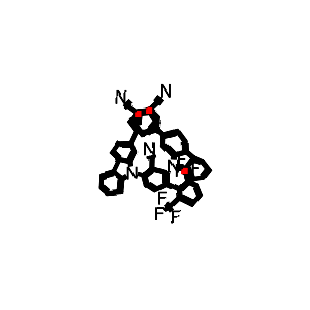 N#Cc1ccc(-c2ccc3c4ccccc4n(-c4ccc(-c5c(C(F)(F)F)cccc5C(F)(F)F)c(-n5c6ccccc6c6ccc(-c7ccc(C#N)cc7)cc65)c4C#N)c3c2)cc1